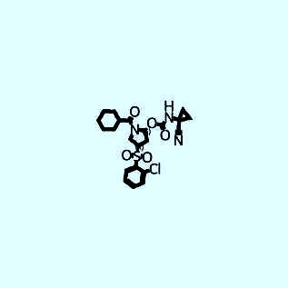 N#CC1(NC(=O)O[C@H]2C[C@@H](S(=O)(=O)c3ccccc3Cl)CN2C(=O)C2CCCCC2)CC1